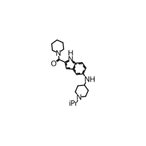 CC(C)N1CCC(Nc2ccc3[nH]c(C(=O)N4CCCCC4)cc3c2)CC1